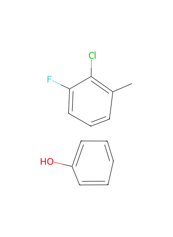 Cc1cccc(F)c1Cl.Oc1ccccc1